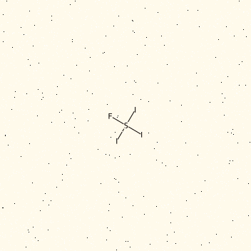 FS(I)(I)I